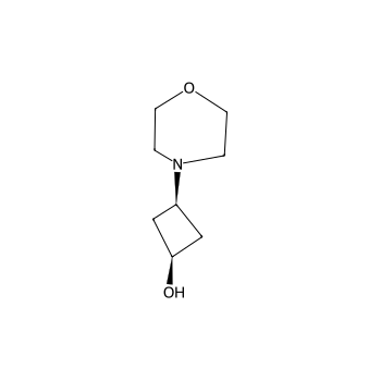 O[C@H]1C[C@@H](N2CCOCC2)C1